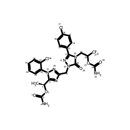 C[C@H](OC(N)=O)c1nc(Cn2nc(-c3ccc(Cl)cc3)n(CC(OC(N)=O)C(F)(F)F)c2=O)nn1-c1ccccc1Cl